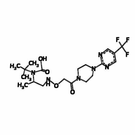 CC(CNOCC(=O)N1CCN(c2ncc(C(F)(F)F)cn2)CC1)N(C(=O)O)C(C)(C)C